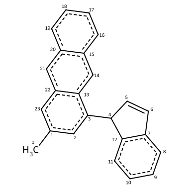 Cc1cc(C2C=Cc3ccccc32)c2cc3ccccc3cc2c1